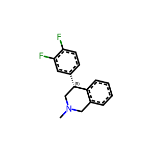 CN1Cc2ccccc2[C@@H](c2ccc(F)c(F)c2)C1